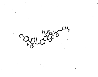 B[C@@H](C(=O)NC(=O)CCC)N1Cc2cc(CNC(=O)C(F)(F)c3ccc(Cl)cc3)ccc2C1=O